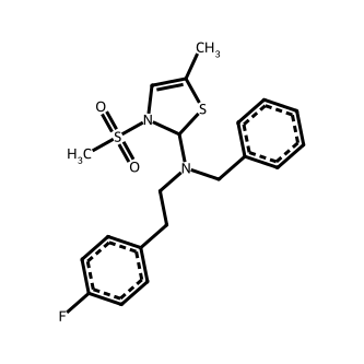 CC1=CN(S(C)(=O)=O)C(N(CCc2ccc(F)cc2)Cc2ccccc2)S1